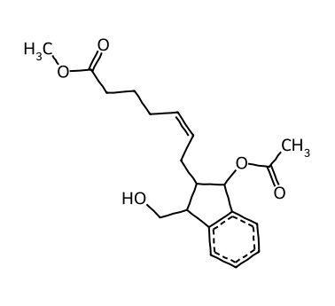 COC(=O)CCC/C=C\CC1C(CO)c2ccccc2C1OC(C)=O